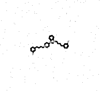 Fc1cccc(CCCCN2CCC(N3CN(CCCCc4cccc(F)c4)c4ccccc43)CC2)c1